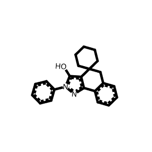 Oc1c2c(nn1-c1ccccc1)-c1ccccc1CC21CCCCC1